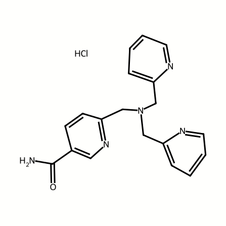 Cl.NC(=O)c1ccc(CN(Cc2ccccn2)Cc2ccccn2)nc1